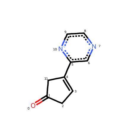 O=C1CC=C(c2cnccn2)C1